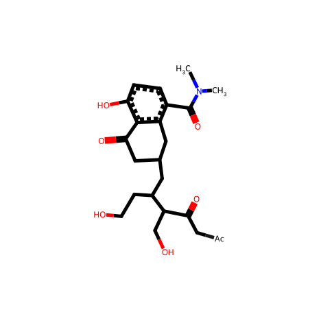 CC(=O)CC(=O)C(CO)C(CCO)CC1CC(=O)c2c(O)ccc(C(=O)N(C)C)c2C1